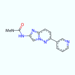 CNC(=O)Nc1cn2nc(-c3cccnc3)ccc2n1